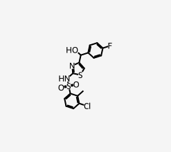 Cc1c(Cl)cccc1S(=O)(=O)Nc1nc(C(O)c2ccc(F)cc2)cs1